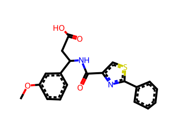 COc1cccc(C(CC(=O)O)NC(=O)c2csc(-c3ccccc3)n2)c1